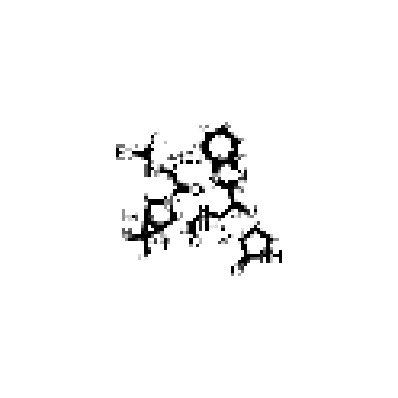 CCC(=O)N[C@H](C(=O)N1C[C@H]2[C@@H]([C@H]1C(=O)N[C@@H](C[C@@H]1CCNC1=O)C(=O)c1nc3ccccc3s1)C2(C)C)C(C)(C)C